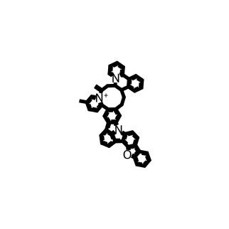 C=C1CC2C(CCc3cc4c(cc3-c3ccc(C)c[n+]31)c1cccc3c5c6oc7ccccc7c6ccc5n4c13)c1ccccc1-c1cccc[n+]12